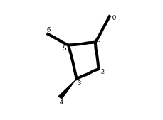 CC1C[C@@H](C)C1C